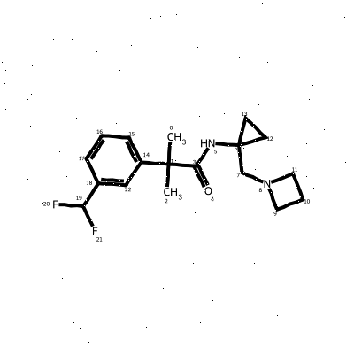 CC(C)(C(=O)NC1(CN2CCC2)CC1)c1cccc(C(F)F)c1